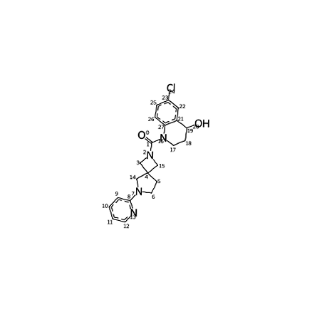 O=C(N1CC2(CCN(c3ccccn3)C2)C1)N1CCC(O)c2cc(Cl)ccc21